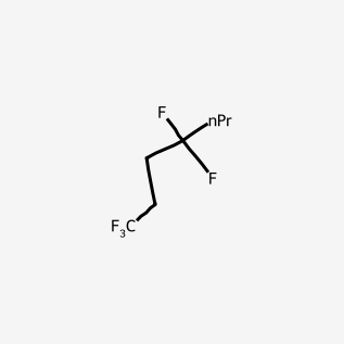 [CH2]CCC(F)(F)CCC(F)(F)F